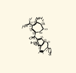 COc1ccc2[nH]c(C(=O)C3=CC(C(C)=N)=C(N)CCC3)cc2c1